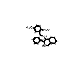 COc1ccc(OC)c(CNC2C(c3ccccc3)NCC3CCCCC32)c1